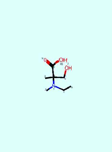 CCN(C)C(C)(CO)C(=O)O